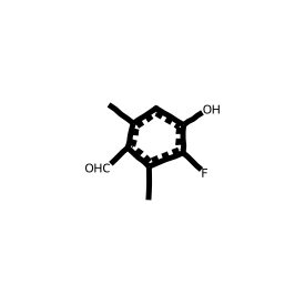 Cc1cc(O)c(F)c(C)c1C=O